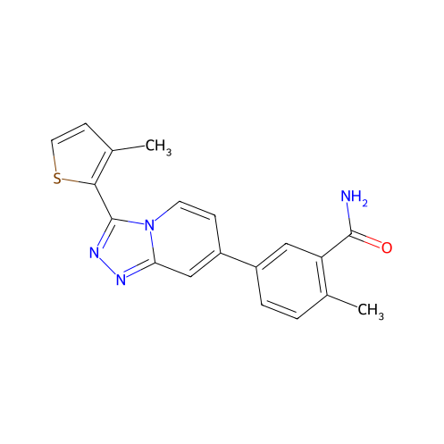 Cc1ccc(-c2ccn3c(-c4sccc4C)nnc3c2)cc1C(N)=O